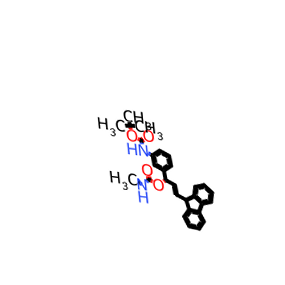 CNC(=O)OC(/C=C/C1c2ccccc2-c2ccccc21)c1cccc(NC(=O)OC(C)(C)C)c1